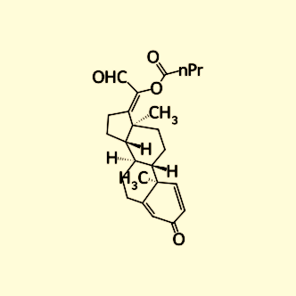 CCCC(=O)OC(C=O)=C1CC[C@H]2[C@@H]3CCC4=CC(=O)C=C[C@]4(C)[C@H]3CC[C@]12C